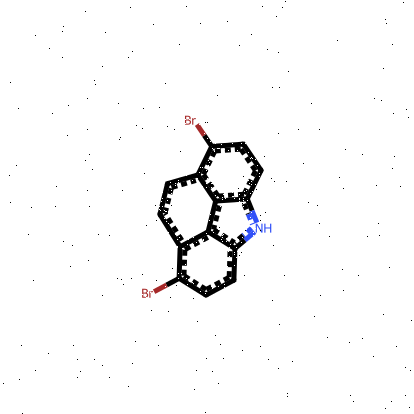 Brc1ccc2[nH]c3ccc(Br)c4ccc1c2c34